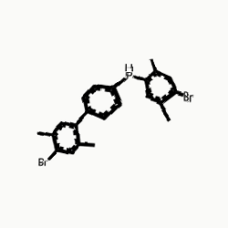 Cc1cc(Pc2ccc(-c3cc(C)c(Br)cc3C)cc2)c(C)cc1Br